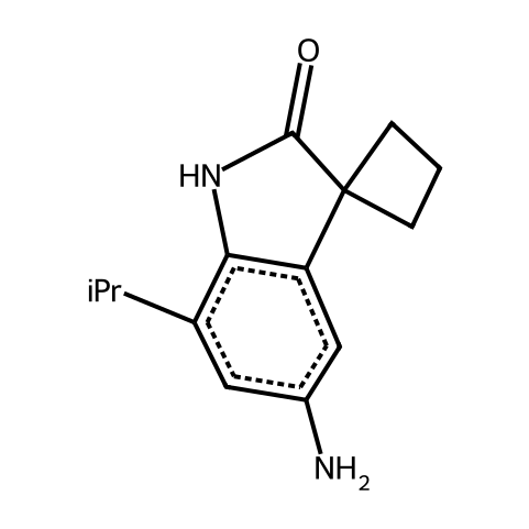 CC(C)c1cc(N)cc2c1NC(=O)C21CCC1